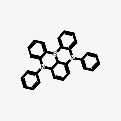 C1=CC2C3B(c4ccccc4N(c4ccccc4)C3=C1)c1ccccc1N2c1ccccc1